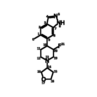 Cc1cc2cn[nH]c2cc1C1CCN(C2CCOC2)CC1F